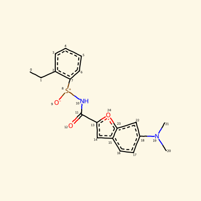 CCc1ccccc1[S+]([O-])NC(=O)c1cc2ccc(N(C)C)cc2o1